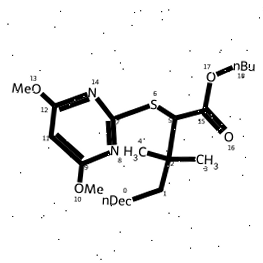 CCCCCCCCCCCC(C)(C)C(Sc1nc(OC)cc(OC)n1)C(=O)OCCCC